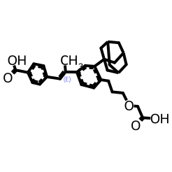 C/C(=C\c1ccc(C(=O)O)cc1)c1ccc(CCCOCC(=O)O)c(C23CC4CC(CC(C4)C2)C3)c1